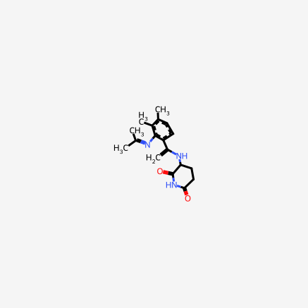 C=C(NC1CCC(=O)NC1=O)c1ccc(C)c(C)c1N=C(C)C